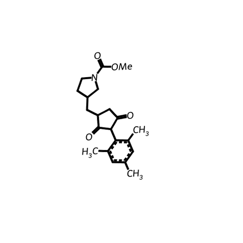 COC(=O)N1CCC(CC2CC(=O)C(c3c(C)cc(C)cc3C)C2=O)C1